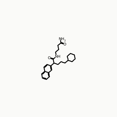 NC(=O)CCCNC(=O)C(CCCC1CCCCC1)c1ccc2ccccc2c1